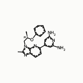 Cc1nc2ccc(-c3cc(N)nc(N)c3)nc2n1C[C@@H](C)Oc1ccccc1